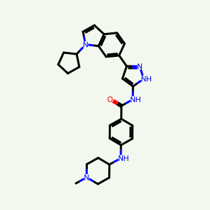 CN1CCC(Nc2ccc(C(=O)Nc3cc(-c4ccc5ccn(C6CCCC6)c5c4)n[nH]3)cc2)CC1